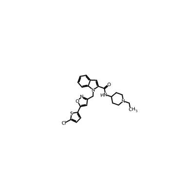 CCN1CCC(NC(=O)c2cc3ccccc3n2Cc2cc(-c3ccc(Cl)s3)on2)CC1